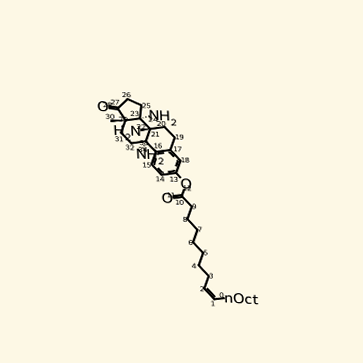 CCCCCCCC/C=C\CCCCCCCC(=O)Oc1ccc2c(c1)CC[C@@]1(N)[C@]3(N)CCC(=O)[C@@]3(C)CC[C@]21N